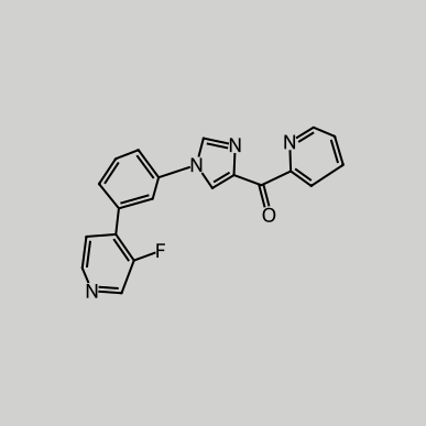 O=C(c1ccccn1)c1cn(-c2cccc(-c3ccncc3F)c2)cn1